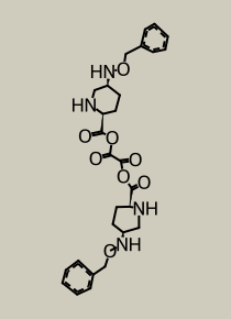 O=C(OC(=O)[C@@H]1CC[C@H](NOCc2ccccc2)CN1)C(=O)OC(=O)[C@@H]1CC[C@H](NOCc2ccccc2)CN1